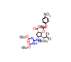 CCC(CC)[C@H](NC(C)=O)[C@@H]1[C@H](OC(=O)Oc2ccc([N+](=O)[O-])cc2)[C@@H](C(=O)OC)C[C@H]1NC(=NC(=O)OC(C)(C)C)NC(=O)OC(C)(C)C